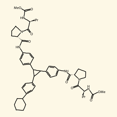 COC(=O)N[C@H](C(=O)N1CCC[C@H]1C(=O)Nc1ccc(C2C(c3ccc(NC(=O)[C@@H]4CCCN4C(=O)[C@@H](NC(=O)OC)C(C)C)cc3)C2c2ccc(C3CCCCC3)cc2)cc1)C(C)C